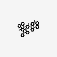 c1ccc(N2c3ccccc3B3c4cc5c(cc4N(c4ccccc4)c4c3c2cc2sc3ccccc3c42)Oc2cc3sc4ccccc4c3c3c2B5c2ccccc2N3c2ccccc2)cc1